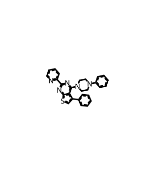 c1ccc(-c2csc3nc(-c4ccccn4)nc(N4CCN(c5ccccc5)CC4)c23)cc1